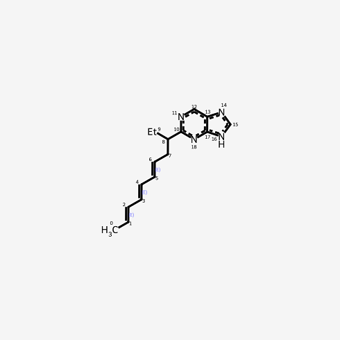 C/C=C/C=C/C=C/CC(CC)c1ncc2nc[nH]c2n1